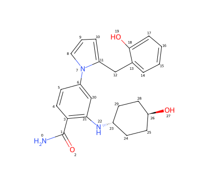 NC(=O)c1ccc(-n2cccc2Cc2ccccc2O)cc1N[C@H]1CC[C@H](O)CC1